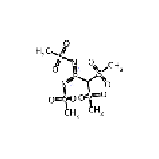 CS(=O)(=O)/N=P(=N/S(C)(=O)=O)/C(S(C)(=O)=O)S(C)(=O)=O